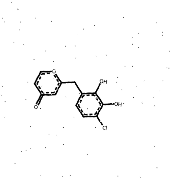 O=c1ccoc(Cc2ccc(Cl)c(O)c2O)c1